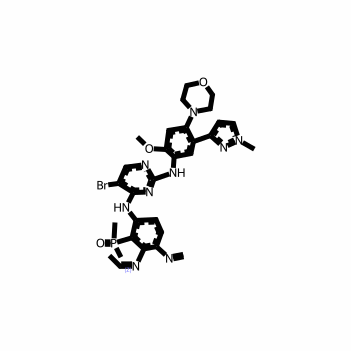 C=Nc1ccc(Nc2nc(Nc3cc(-c4ccn(C)n4)c(N4CCOCC4)cc3OC)ncc2Br)c(P(C)(C)=O)c1/N=C\C